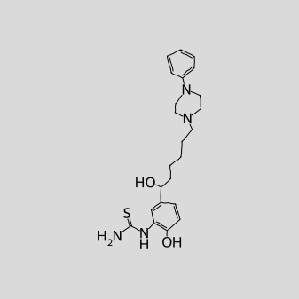 NC(=S)Nc1cc(C(O)CCCCCN2CCN(c3ccccc3)CC2)ccc1O